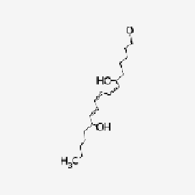 CCCCCC(O)/C=C/C=C\C=C/C(O)CCCCC=O